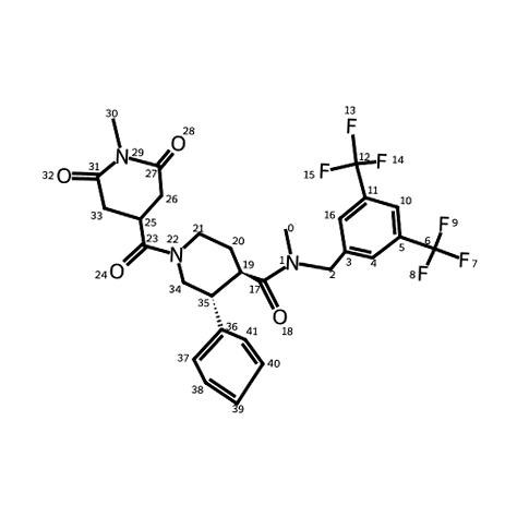 CN(Cc1cc(C(F)(F)F)cc(C(F)(F)F)c1)C(=O)[C@@H]1CCN(C(=O)C2CC(=O)N(C)C(=O)C2)C[C@H]1c1ccccc1